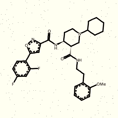 COc1ccccc1CCNC(=O)[C@H]1CN(C2CCCCC2)CC[C@@H]1NC(=O)c1cc(-c2ccc(F)cc2F)on1